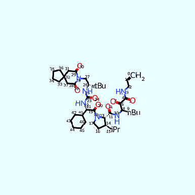 C=CCNC(=O)C(=O)C(CCCC)NC(=O)[C@@H]1[C@@H](C(C)C)CCN1C(=O)[C@@H](NC(=O)N[C@H](CN1C(=O)CC2(CCCC2)CC1=O)C(C)(C)C)C1CCCCC1